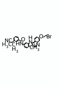 Cc1ccc(NC(=O)c2cccc(C(C)(C)C#N)c2)cc1Nc1ncnc2cc(OCCBr)ccc12